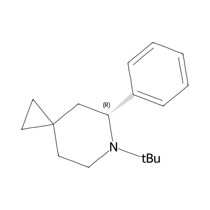 CC(C)(C)N1CCC2(CC2)C[C@@H]1c1ccccc1